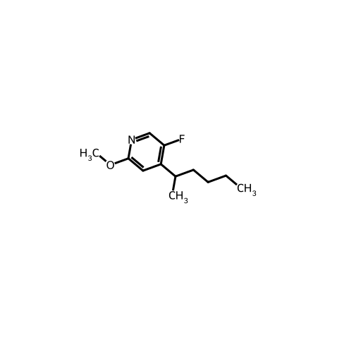 CCCCC(C)c1cc(OC)ncc1F